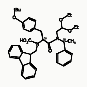 CCOC(CN(C(=O)[C@H](Cc1ccc(OC(C)(C)C)cc1)N(CC1c2ccccc2-c2ccccc21)C(=O)O)[C@H](C)c1ccccc1)OCC